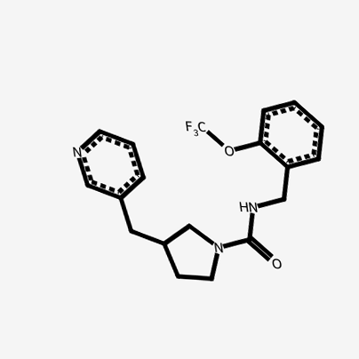 O=C(NCc1ccccc1OC(F)(F)F)N1CCC(Cc2cccnc2)C1